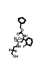 C[C@@](C[S+]([O-])NCC(F)(F)CO)(NC(=O)OCc1ccccc1)c1ccccc1F